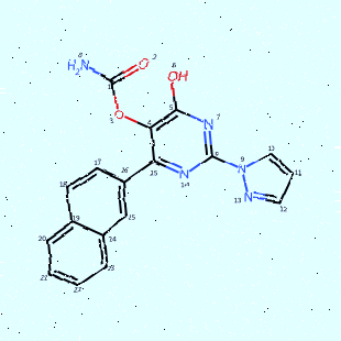 NC(=O)Oc1c(O)nc(-n2cccn2)nc1-c1ccc2ccccc2c1